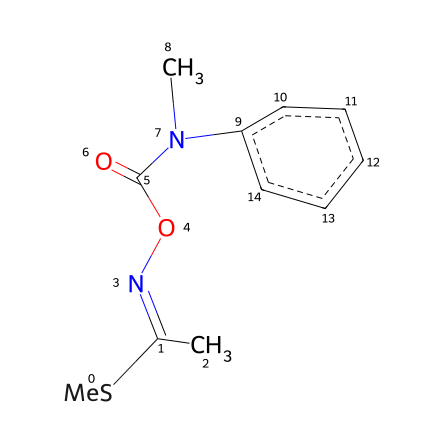 CSC(C)=NOC(=O)N(C)c1ccccc1